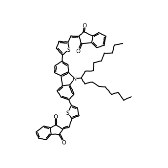 CCCCCCCCC(CCCCCCCC)n1c2cc(-c3ccc(C=C4C(=O)c5ccccc5C4=O)s3)ccc2c2ccc(-c3ccc(C=C4C(=O)c5ccccc5C4=O)s3)cc21